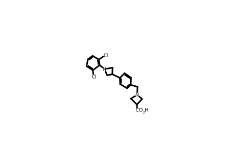 O=C(O)C1CN(Cc2ccc(C3CN(c4c(Cl)cccc4Cl)C3)cc2)C1